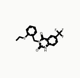 CCSc1ccccc1Cn1c(=O)[nH]c2ccc(C(F)(F)F)cc2c1=O